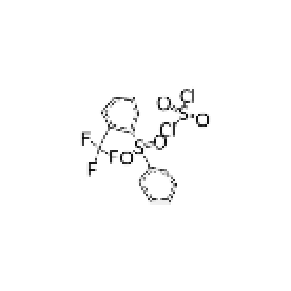 O=S(=O)(Cl)Cl.O=S(=O)(c1ccccc1)c1ccccc1C(F)(F)F